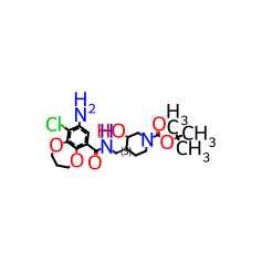 CC(C)(C)OC(=O)N1CC[C@@H](CNC(=O)c2cc(N)c(Cl)c3c2OCCCO3)C(O)C1